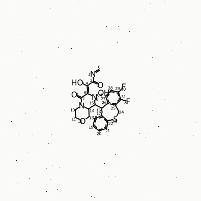 C=NC(=O)/C(O)=C1/C(=O)N2CCOCC2C(C2c3ccccc3SCc3c2ccc(F)c3F)N1O